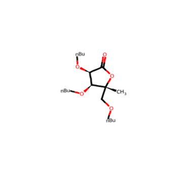 CCCCOC[C@@]1(C)OC(=O)[C@H](OCCCC)[C@@H]1OCCCC